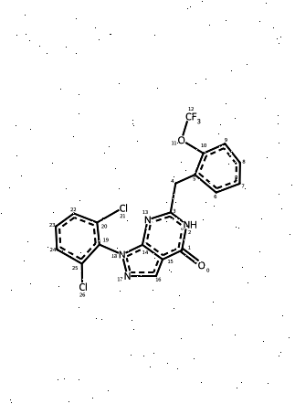 O=c1[nH]c(Cc2ccccc2OC(F)(F)F)nc2c1cnn2-c1c(Cl)cccc1Cl